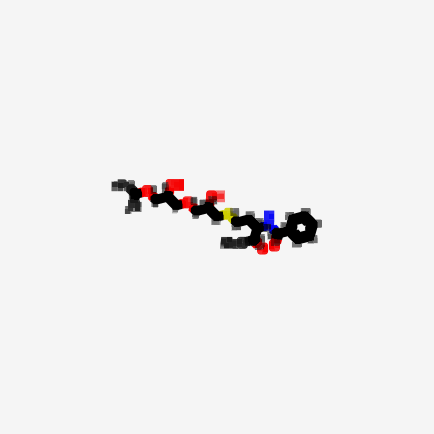 CCCC(CC)OCC(O)COCC(O)CSCCC(NC(=O)c1ccccc1)C(=O)OC